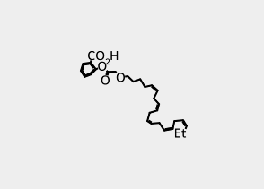 CC/C=C\C/C=C\C/C=C\C/C=C\C/C=C\CCCCOCC(=O)Oc1ccccc1C(=O)O